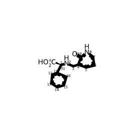 O=C(O)[C@@H](NCc1ccc[nH]c1=O)c1ccccc1